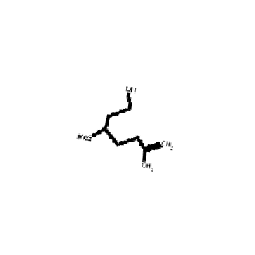 C=C(C)CCC(CCO)SC